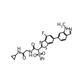 CC(C)S(=O)(=O)C(C(=O)NCC(=O)NC1CC1)c1nc2c(F)cc(-c3ccc4cnn(C)c4c3)cc2s1